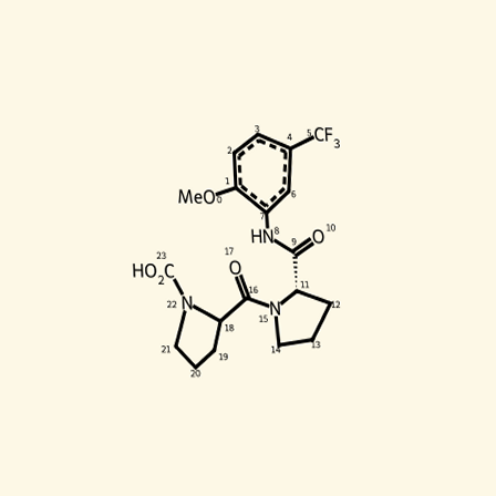 COc1ccc(C(F)(F)F)cc1NC(=O)[C@@H]1CCCN1C(=O)C1CCCN1C(=O)O